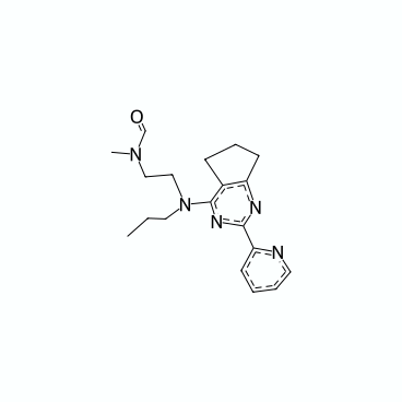 CCCN(CCN(C)C=O)c1nc(-c2ccccn2)nc2c1CCC2